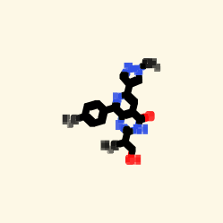 CC(CO)c1nc2c(-c3ccc(C(F)(F)F)cc3)nc(-c3cnn(C)c3)cc2c(=O)[nH]1